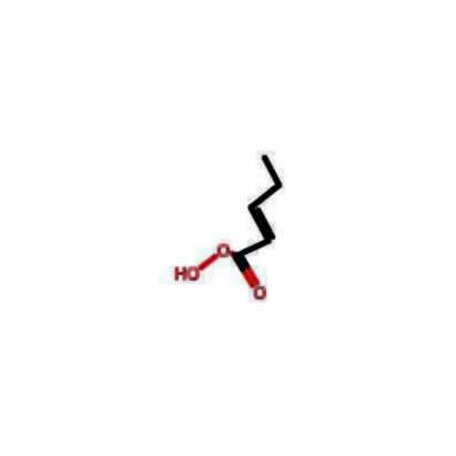 CCC=CC(=O)OO